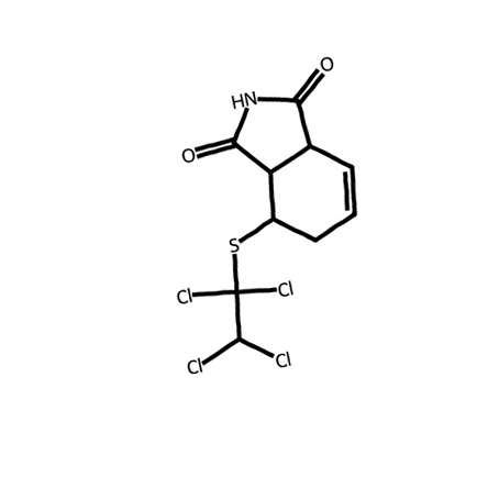 O=C1NC(=O)C2C(SC(Cl)(Cl)C(Cl)Cl)CC=CC12